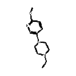 CCN1CCN(c2ccc(OC)nc2)CC1